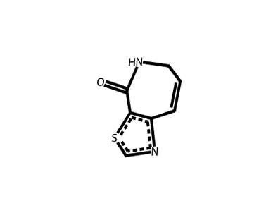 O=C1NCC=Cc2ncsc21